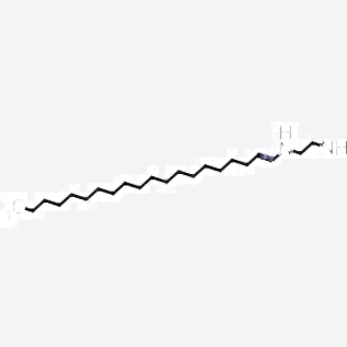 CCCCCCCCCCCCCCCCCC/C=C/NCCN